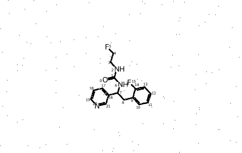 O=C(NCCF)NC(Cc1ccccc1F)c1cccnc1